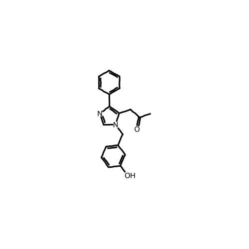 CC(=O)Cc1c(-c2ccccc2)ncn1Cc1cccc(O)c1